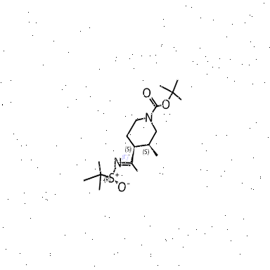 C/C(=N\[S@@+]([O-])C(C)(C)C)[C@H]1CCN(C(=O)OC(C)(C)C)C[C@H]1C